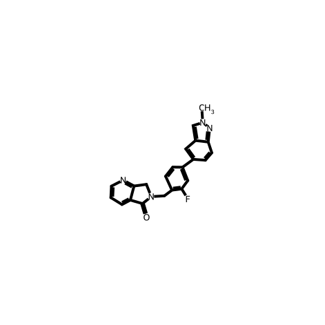 Cn1cc2cc(-c3ccc(CN4Cc5ncccc5C4=O)c(F)c3)ccc2n1